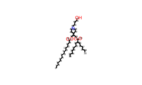 CCCCCCCCCCCCCCCC(=O)OCC(COC(=O)C(CCCCCC)CCCCCCCC)C1CCN(CCCCO)CC1